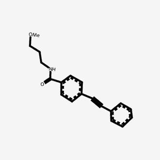 COCCCNC(=O)c1ccc(C#Cc2ccccc2)cc1